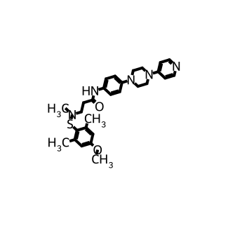 COc1cc(C)c(SN(C)CCC(=O)Nc2ccc(N3CCN(c4ccncc4)CC3)cc2)c(C)c1